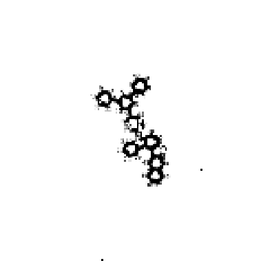 c1ccc(-c2cc(-c3ccccc3)cc(-c3cnc(-n4c5ccccc5c5c6c(ccc54)oc4cc5ccccc5cc46)nc3)c2)cc1